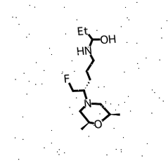 CCC(O)NCCC[C@@H](CF)N1C[C@@H](C)O[C@@H](C)C1